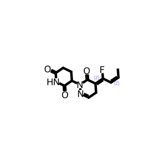 C/C=C\C(F)=C1/CC=NN(C2CCC(=O)NC2=O)C1=O